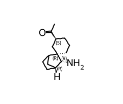 CC(=O)[C@H]1CCC[C@@]2(C1)C1CC[C@H](C1)[C@H]2N